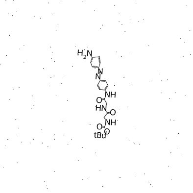 CC(C)(C)OC(=O)NCC(=O)NCC(=O)Nc1ccc(/N=N/c2ccc(N)cc2)cc1